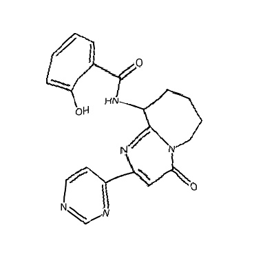 O=C(NC1CCCCn2c1nc(-c1ccncn1)cc2=O)c1ccccc1O